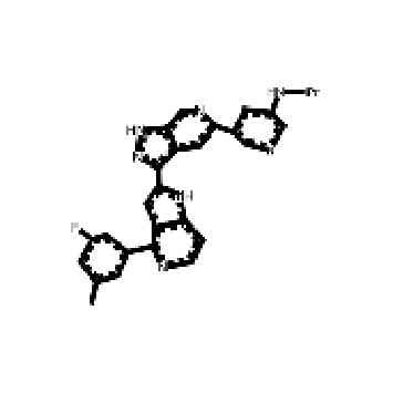 Cc1cc(F)cc(-c2nccc3[nH]c(-c4n[nH]c5cnc(-c6cncc(NC(C)C)c6)cc45)cc23)c1